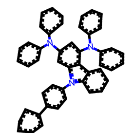 c1ccc(-c2ccc(-n3c4ccccc4c4c(N(c5ccccc5)c5ccccc5)cc(N(c5ccccc5)c5ccccc5)cc43)cc2)cc1